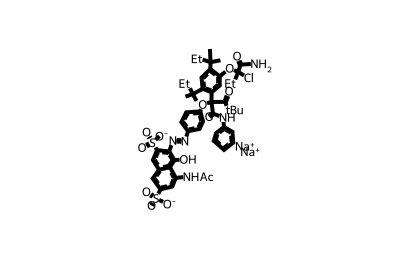 CCC(Cl)(Oc1cc(C(Oc2ccc(N=Nc3c(S(=O)(=O)[O-])cc4cc(S(=O)(=O)[O-])cc(NC(C)=O)c4c3O)cc2)(C(=O)Nc2ccccc2)C(=O)C(C)(C)C)c(C(C)(C)CC)cc1C(C)(C)CC)C(N)=O.[Na+].[Na+]